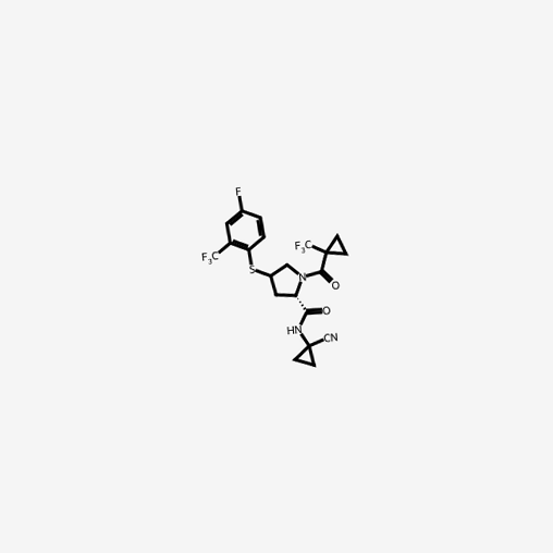 N#CC1(NC(=O)[C@@H]2CC(Sc3ccc(F)cc3C(F)(F)F)CN2C(=O)C2(C(F)(F)F)CC2)CC1